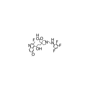 COc1ccc2ncc(CF)c(C(O)CCC3(CC(=O)O)CCN(CCNc4cc(F)cc(F)c4F)CC3)c2c1